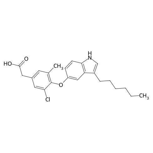 CCCCCCc1c[nH]c2ccc(Oc3c(C)cc(CC(=O)O)cc3Cl)cc12